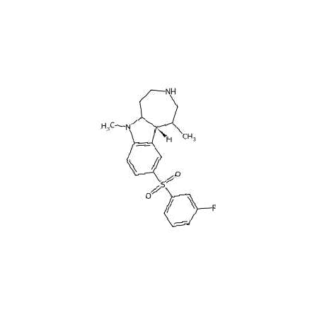 CC1CNCCC2[C@H]1c1cc(S(=O)(=O)c3cccc(F)c3)ccc1N2C